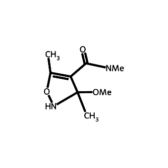 CNC(=O)C1=C(C)ONC1(C)OC